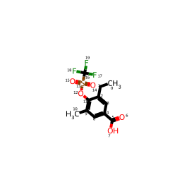 CCc1cc(C(=O)O)cc(C)c1OS(=O)(=O)C(F)(F)F